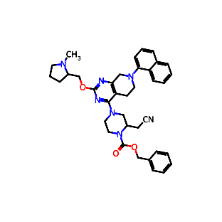 CN1CCCC1COc1nc2c(c(N3CCN(C(=O)OCc4ccccc4)C(CC#N)C3)n1)CCN(c1cccc3ccccc13)C2